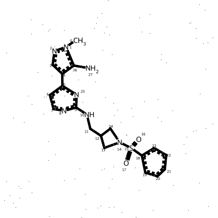 Cn1ncc(-c2ccnc(NCC3CN(S(=O)(=O)c4ccccc4)C3)n2)c1N